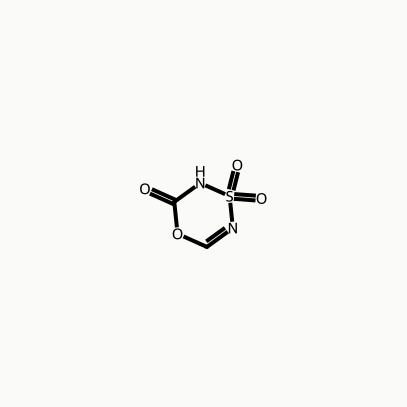 O=C1NS(=O)(=O)N=CO1